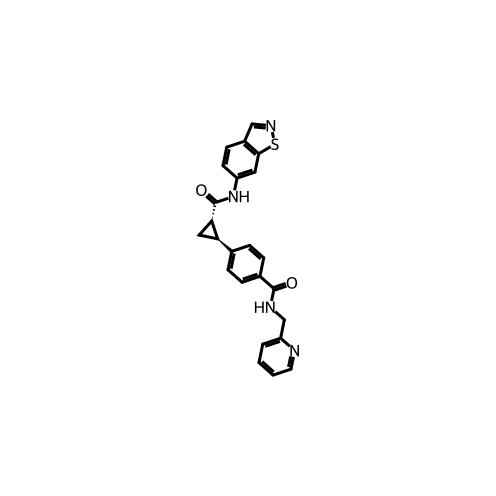 O=C(NCc1ccccn1)c1ccc([C@H]2C[C@@H]2C(=O)Nc2ccc3cnsc3c2)cc1